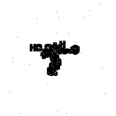 Cc1cccc(Cl)c1CN1CCc2cc(-c3c(CNCCCc4ccccc4)nc(C)c(CC(=O)O)c3N3CCC(C)(C)CC3)ccc2C1